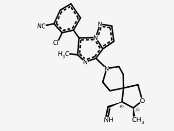 Cc1nc(N2CCC3(CC2)CO[C@@H](C)[C@H]3C=N)c2ccnn2c1-c1cccc(C#N)c1Cl